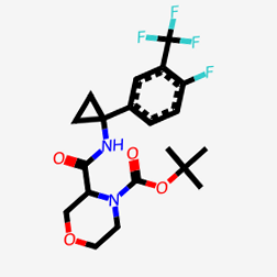 CC(C)(C)OC(=O)N1CCOCC1C(=O)NC1(c2ccc(F)c(C(F)(F)F)c2)CC1